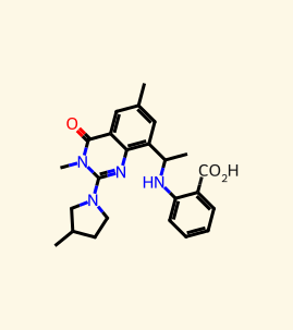 Cc1cc(C(C)Nc2ccccc2C(=O)O)c2nc(N3CCC(C)C3)n(C)c(=O)c2c1